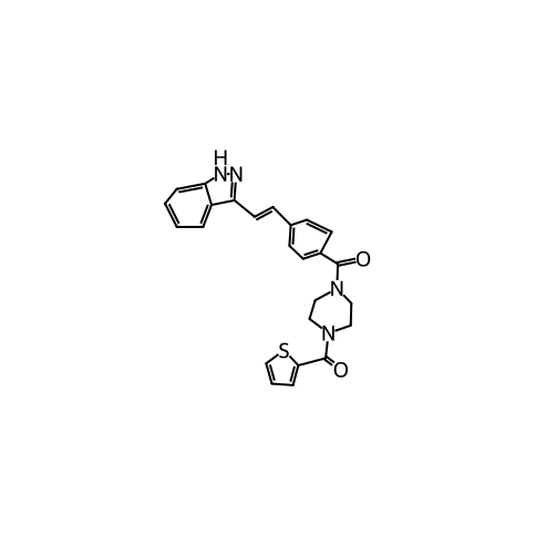 O=C(c1ccc(/C=C/c2n[nH]c3ccccc23)cc1)N1CCN(C(=O)c2cccs2)CC1